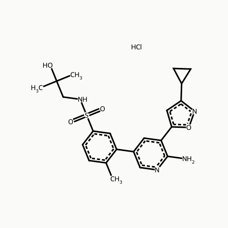 Cc1ccc(S(=O)(=O)NCC(C)(C)O)cc1-c1cnc(N)c(-c2cc(C3CC3)no2)c1.Cl